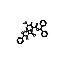 CO[C@H]1S[C@H]2[C@@H](NC(=O)c3ccccc3)C(=O)N2C(C(=O)OC(c2ccccc2)c2ccccc2)=C1C